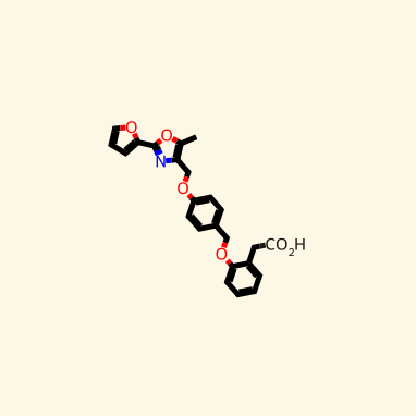 Cc1oc(-c2ccco2)nc1COc1ccc(COc2ccccc2CC(=O)O)cc1